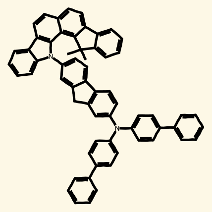 CC1(C)c2ccccc2-c2ccc3ccc4c5ccccc5n(-c5ccc6c(c5)Cc5cc(N(c7ccc(-c8ccccc8)cc7)c7ccc(-c8ccccc8)cc7)ccc5-6)c4c3c21